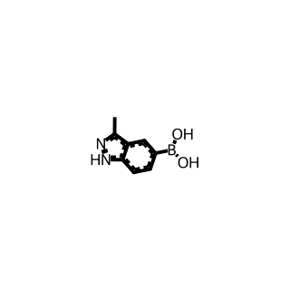 Cc1n[nH]c2ccc(B(O)O)cc12